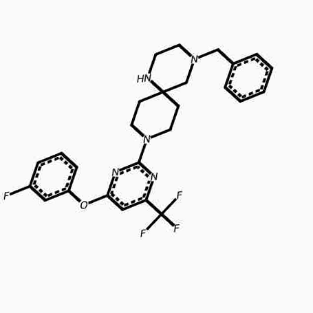 Fc1cccc(Oc2cc(C(F)(F)F)nc(N3CCC4(CC3)CN(Cc3ccccc3)CCN4)n2)c1